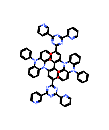 c1ccc(N2c3ccccc3N(c3cc(-c4nc(-c5cccnc5)nc(-c5ccccn5)n4)ccc3-c3ccc(-c4nc(-c5cccnc5)nc(-c5ccccn5)n4)cc3N3c4ccccc4N(c4ccccc4)c4ccccc43)c3ccccc32)cc1